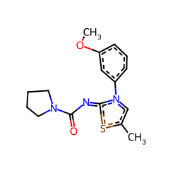 COc1cccc(-n2cc(C)sc2=NC(=O)N2CCCC2)c1